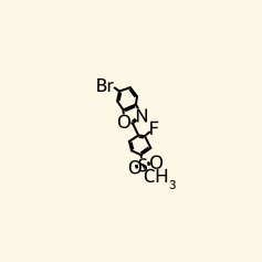 CS(=O)(=O)c1ccc(-c2nc3ccc(Br)cc3o2)c(F)c1